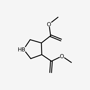 C=C(OC)C1CBCC1C(=C)OC